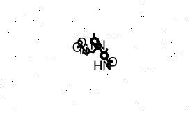 CNC(=O)c1ccc(-c2nc3cc(C)ccn3c2CC2CCN(C(=O)OC)C2)c(C)c1